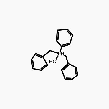 O[PH](Cc1ccccc1)(Cc1ccccc1)c1ccccc1